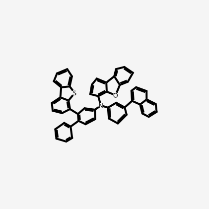 c1ccc(-c2ccc(N(c3cccc(-c4cccc5ccccc45)c3)c3cccc4c3oc3ccccc34)cc2-c2cccc3c2sc2ccccc23)cc1